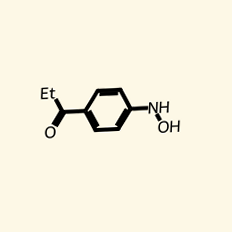 CCC(=O)c1ccc(NO)cc1